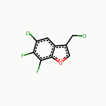 Fc1c(Cl)cc2c(CCl)coc2c1F